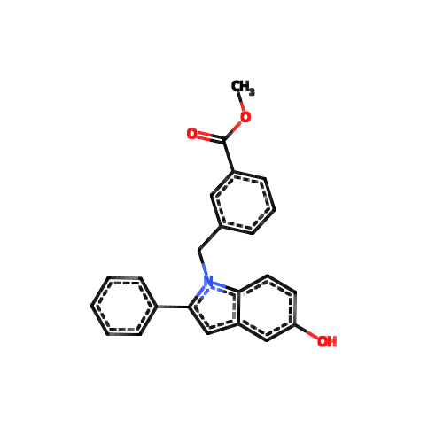 COC(=O)c1cccc(Cn2c(-c3ccccc3)cc3cc(O)ccc32)c1